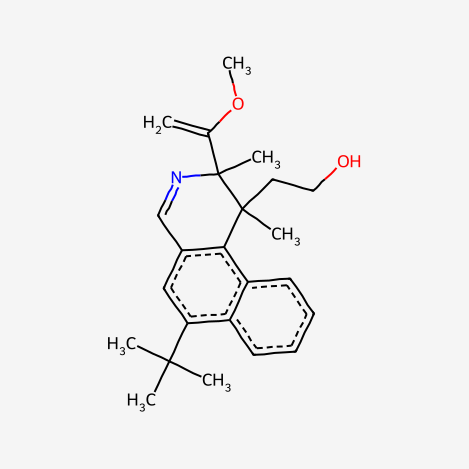 C=C(OC)C1(C)N=Cc2cc(C(C)(C)C)c3ccccc3c2C1(C)CCO